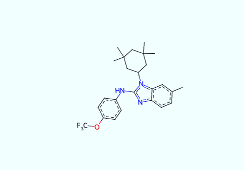 Cc1ccc2nc(Nc3ccc(OC(F)(F)F)cc3)n(C3CC(C)(C)CC(C)(C)C3)c2c1